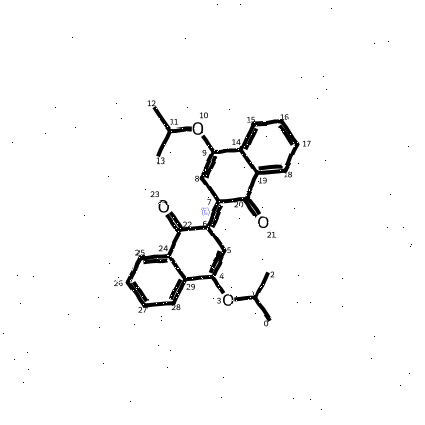 CC(C)OC1=C/C(=C2/C=C(OC(C)C)c3ccccc3C2=O)C(=O)c2ccccc21